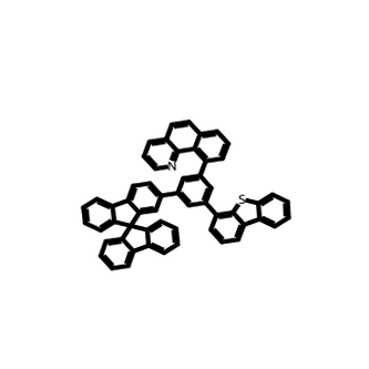 c1ccc2c(c1)-c1ccccc1C21c2ccccc2-c2ccc(-c3cc(-c4cccc5c4sc4ccccc45)cc(-c4cccc5ccc6cccnc6c45)c3)cc21